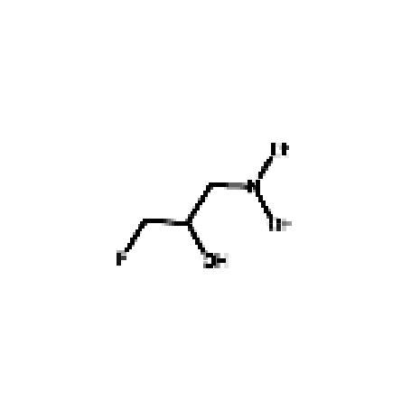 CCN(O)CC(O)CF